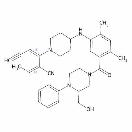 C#C/C=C(\C(C#N)=C/C)N1CCC(Nc2cc(C(=O)N3CCN(c4ccccc4)C(CO)C3)c(C)cc2C)CC1